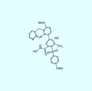 COc1ccc(S(=O)(=O)c2c(C)cc(-c3ccc(OC)c(Cc4cccnc4)c3N)cc2C(=O)NO)cc1.Cl